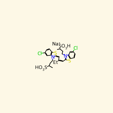 CCC(=Cc1sc2ccc(Cl)cc2[n+]1CCC(C)S(=O)(=O)O)C=C1Sc2ccc(Cl)cc2N1CCC(C)S(=O)(=O)O.[Na+]